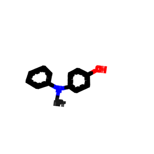 CCCN(c1ccccc1)c1ccc(O)cc1